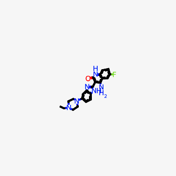 CCN1CCN(c2ccc3[nH]c(-c4c(N)c5cc(F)ccc5[nH]c4=O)nc3c2)CC1